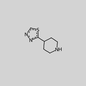 c1nnc(C2CCNCC2)s1